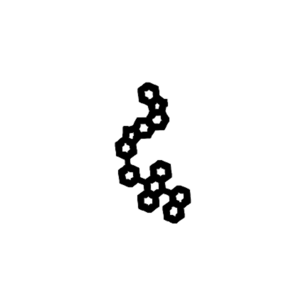 c1cc(-c2ccc3sc4cc5c(ccc6sc7ccccc7c65)cc4c3c2)cc(-c2c3ccccc3c(-c3cccc4ccccc34)c3ccccc23)c1